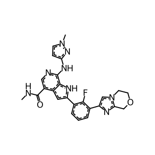 CNC(=O)c1cnc(Nc2ccn(C)n2)c2[nH]c(-c3cccc(-c4cn5c(n4)COCC5)c3F)cc12